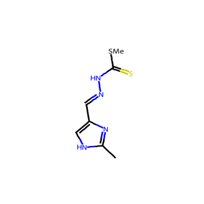 CSC(=S)N/N=C/c1c[nH]c(C)n1